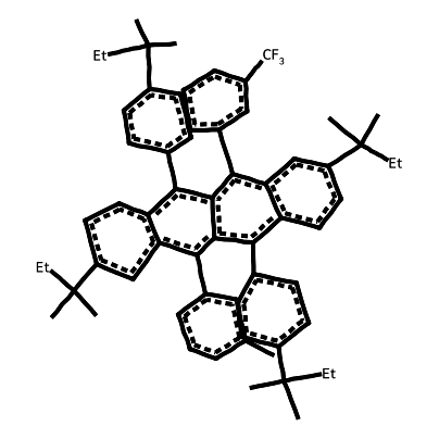 CCC(C)(C)c1ccc(-c2c3ccc(C(C)(C)CC)cc3c(-c3cccc(C(F)(F)F)c3)c3c(-c4ccc(C(C)(C)CC)cc4)c4ccc(C(C)(C)CC)cc4c(-c4cccc(C)c4)c23)cc1